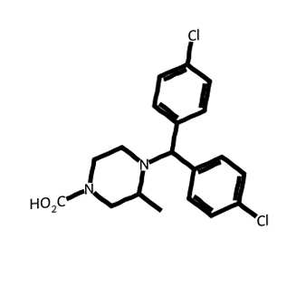 CC1CN(C(=O)O)CCN1C(c1ccc(Cl)cc1)c1ccc(Cl)cc1